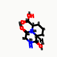 O=C(O)[C@H]1CCC[C@H]2C(=O)NCC(=O)N12